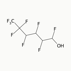 OC(F)C(F)C(F)C(F)C(F)(F)C(F)(F)F